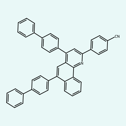 N#Cc1ccc(-c2cc(-c3ccc(-c4ccccc4)cc3)c3cc(-c4ccc(-c5ccccc5)cc4)c4ccccc4c3n2)cc1